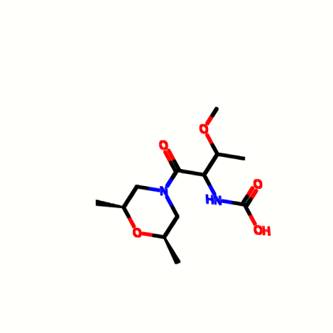 COC(C)C(NC(=O)O)C(=O)N1C[C@@H](C)O[C@@H](C)C1